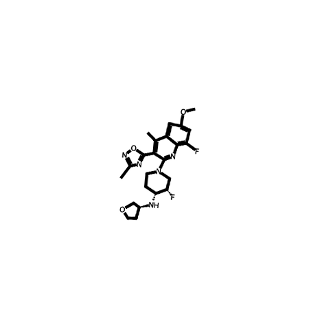 COc1cc(F)c2nc(N3CC[C@@H](N[C@H]4CCOC4)[C@@H](F)C3)c(-c3nc(C)no3)c(C)c2c1